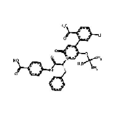 BC(B)(B)Oc1cn([C@H](Cc2ccccc2)C(=O)Nc2ccc(C(=O)O)cc2)c(=O)cc1-c1cc(Cl)ccc1C(C)=O